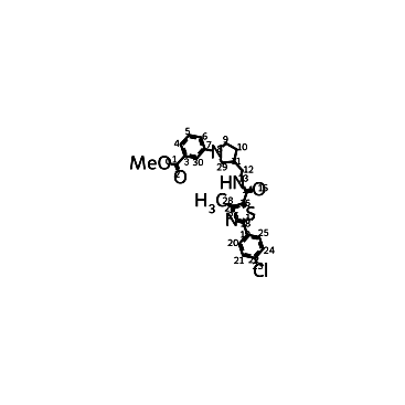 COC(=O)c1cccc(N2CCC(CNC(=O)c3sc(-c4ccc(Cl)cc4)nc3C)C2)c1